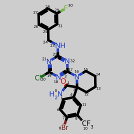 NC(=O)C1(c2ccc(Br)c(C(F)(F)F)c2)CCCCN1c1nc(Cl)nc(NCc2cccc(F)c2)n1